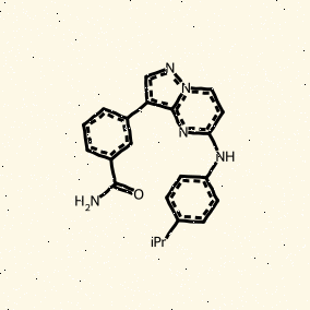 CC(C)c1ccc(Nc2ccn3ncc(-c4cccc(C(N)=O)c4)c3n2)cc1